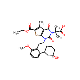 CCOC(=O)c1sc2c(c1C)c(=O)n(C(C)(C)C(=O)O)c(=O)n2CCc1c(OC)cccc1C1CCC[C@@H](O)C1